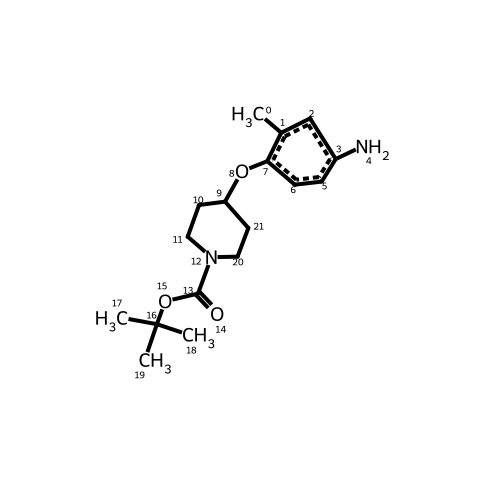 Cc1cc(N)ccc1OC1CCN(C(=O)OC(C)(C)C)CC1